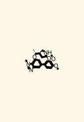 COc1ccc(-c2cc(O[C@H](C)[C@H]3CNC(=O)C3)c3c(c2)ncn3C)cc1OC